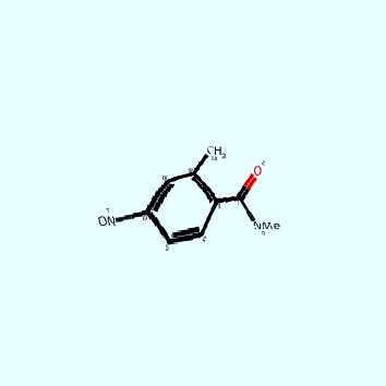 CNC(=O)c1ccc(N=O)cc1C